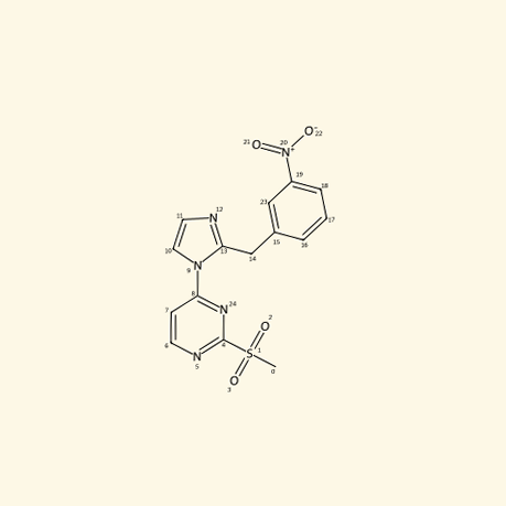 CS(=O)(=O)c1nccc(-n2ccnc2Cc2cccc([N+](=O)[O-])c2)n1